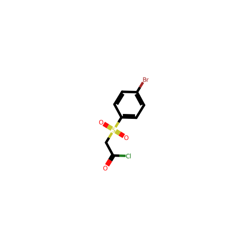 O=C(Cl)CS(=O)(=O)c1ccc(Br)cc1